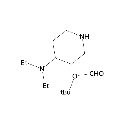 CC(C)(C)OC=O.CCN(CC)C1CCNCC1